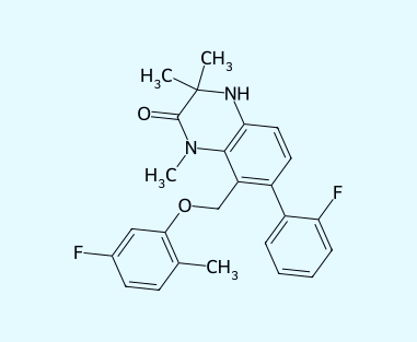 Cc1ccc(F)cc1OCc1c(-c2ccccc2F)ccc2c1N(C)C(=O)C(C)(C)N2